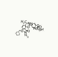 CC(NC(=O)c1ccc(OP(=O)(O)O)cc1)c1ccc(OCC2CCCCC2)c(C(N)=O)c1